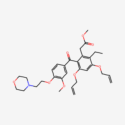 C=CCOc1cc(OCC=C)c(C(=O)c2ccc(OCCN3CCOCC3)c(OC)c2)c(CC(=O)OC)c1CC